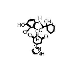 CC1(C(=O)Nc2ccc(O)c(Cl)c2Cl)CCCCC1.O=C1CCCC(=O)N1.c1c[nH]nn1